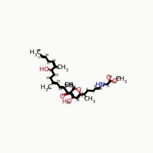 B=C1OC([C@H](C)CC/C=C/NCC(=O)OC)=CC(O)=C1C(=O)/C(C)=C/C=C(\C)CC[C@@H](O)/C(C)=C\C/C=C/C